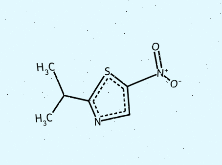 CC(C)c1ncc([N+](=O)[O-])s1